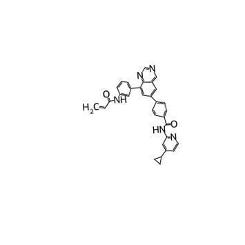 C=CC(=O)Nc1cccc(-c2cc(-c3ccc(C(=O)Nc4cc(C5CC5)ccn4)cc3)cc3cncnc23)c1